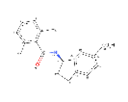 Cc1cccc(C)c1C(=O)N[C@@H]1CCc2ccc(C(=O)O)cc21